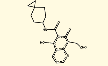 O=CCn1c(=O)c(C(=O)NC2CCC3(CC2)CC3)c(O)c2cccnc21